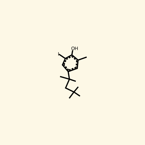 Cc1cc(C(C)(C)CC(C)(C)C)cc(I)c1O